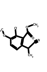 COC(=O)c1c(C(C)C#N)ccc(OC)c1Cl